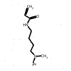 C=CC(=O)NCCCCN(C)C(C)C